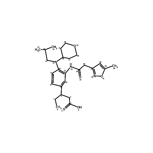 CCC(CC(=O)O)c1ccc(N(CC(C)C)C2CCOCC2)c(NC(=O)Cc2cc(C)on2)c1